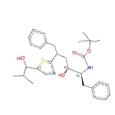 CC(C)C(O)c1cnc(C(Cc2ccccc2)C[C@H](O)[C@H](Cc2ccccc2)NC(=O)OC(C)(C)C)s1